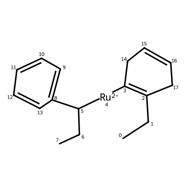 CCC1=[C]([Ru-2][CH](CC)c2ccccc2)CC=CC1